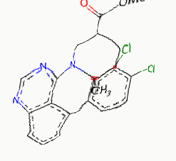 COC(=O)C1CCC(C)N(c2ncnc3cccc(-c4ccc(Cl)c(Cl)c4)c23)C1